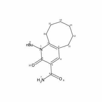 CCCCn1c2c(cc(C(N)=O)c1=O)CCCCCC2